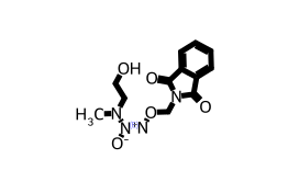 CN(CCO)/[N+]([O-])=N\OCN1C(=O)c2ccccc2C1=O